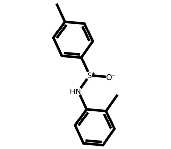 Cc1ccc([S+]([O-])Nc2ccccc2C)cc1